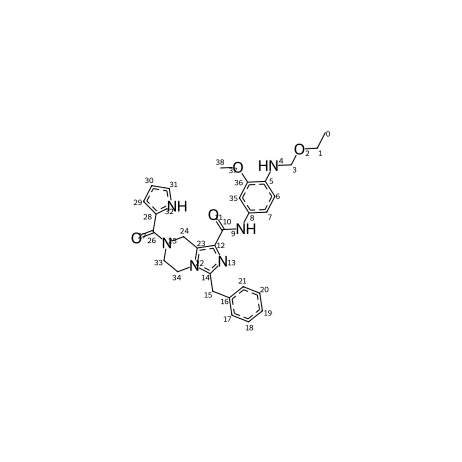 CCOCNc1ccc(NC(=O)c2nc(Cc3ccccc3)n3c2CN(C(=O)c2ccc[nH]2)CC3)cc1OC